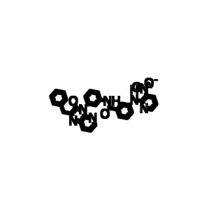 O=C(Nc1cccc(-n2c(=O)c(Cc3ccccc3)nc3cccnc32)c1)c1cccc(Nc2ncccc2[N+](=O)[O-])c1